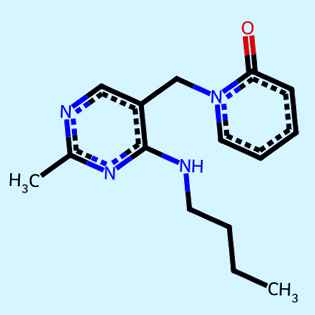 CCCCNc1nc(C)ncc1Cn1ccccc1=O